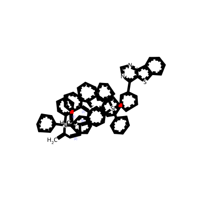 C=C(\C=C/C(C)=c1\ccc([Si](c2ccccc2)(c2ccccc2)c2cccc(-c3ncnc4c3sc3ccccc34)c2)c\c1=c1/cccc/c1=C\C)[Si](c1ccccc1)(c1ccccc1)c1cccc(-n2c3ccccc3c3ccccc32)c1